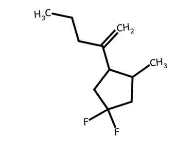 C=C(CCC)C1CC(F)(F)CC1C